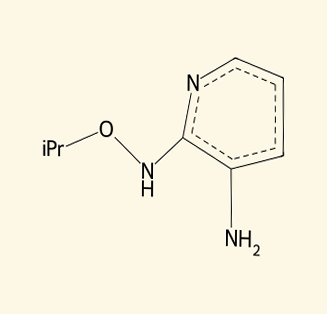 CC(C)ONc1ncccc1N